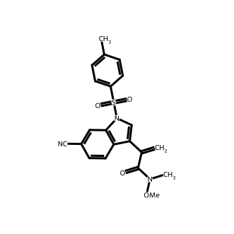 C=C(C(=O)N(C)OC)c1cn(S(=O)(=O)c2ccc(C)cc2)c2cc(C#N)ccc12